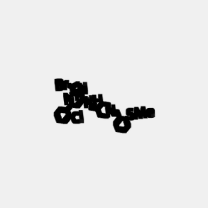 CSc1ccccc1CN1CCC(CNc2cc(-c3ccccc3Cl)nc3c(Br)cnn23)CC1